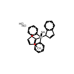 CC1=[C]([Zr](=[SiH2])([c]2ccccc2)([c]2ccccc2)[CH]2C=Cc3ccccc32)CC=C1.Cl.Cl